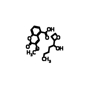 CCCCC(O)C1CCO1.COc1cc2c(C(=O)O)cccc2oc1=O